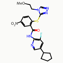 COCCn1cnnc1Sc1ccc([N+](=O)[O-])cc1C(=O)Nc1ncc(C2CCCC2)cc1F